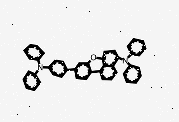 c1ccc(N(c2ccccc2)c2ccc(-c3ccc4c(c3)Oc3ccc(N(c5ccccc5)c5ccccc5)c5cccc-4c35)cc2)cc1